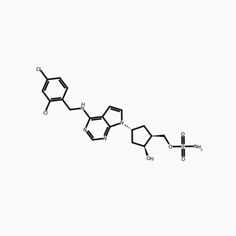 NS(=O)(=O)OC[C@@H]1C[C@@H](n2ccc3c(NCc4ccc(Cl)cc4Cl)ncnc32)C[C@@H]1O